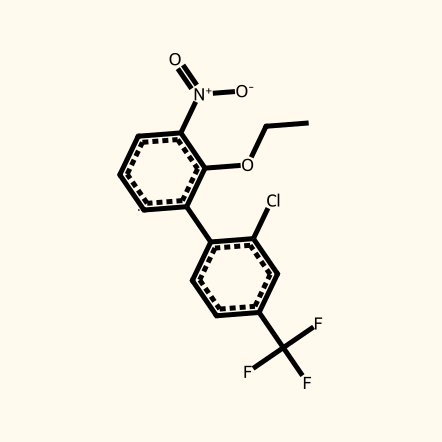 CCOc1c(-c2ccc(C(F)(F)F)cc2Cl)[c]ccc1[N+](=O)[O-]